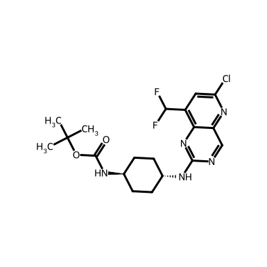 CC(C)(C)OC(=O)N[C@H]1CC[C@H](Nc2ncc3nc(Cl)cc(C(F)F)c3n2)CC1